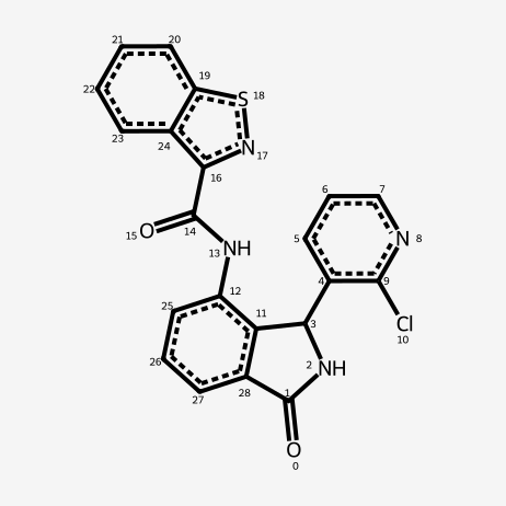 O=C1NC(c2cccnc2Cl)c2c(NC(=O)c3nsc4ccccc34)cccc21